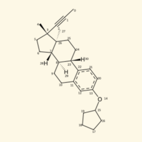 CC#C[C@@]1(C)CC[C@H]2[C@@H]3CCc4cc(OC5CCCC5)ccc4[C@H]3CC[C@@]21C